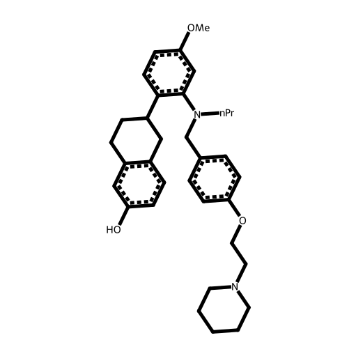 CCCN(Cc1ccc(OCCN2CCCCC2)cc1)c1cc(OC)ccc1C1CCc2cc(O)ccc2C1